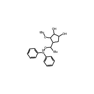 CC(C)(C)OC1C(O)C(O)CC1C(O[SiH](c1ccccc1)c1ccccc1)C(C)(C)C